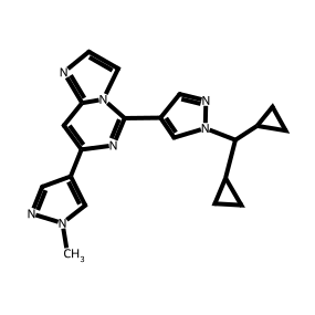 Cn1cc(-c2cc3nccn3c(-c3cnn(C(C4CC4)C4CC4)c3)n2)cn1